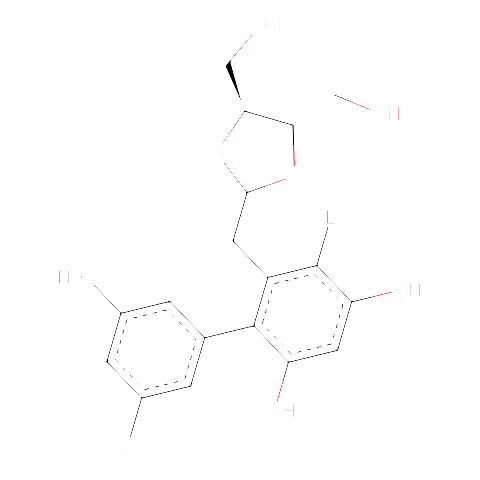 CCc1c(O)cc(O)c(-c2cc(C)cc(C)c2)c1CC1O[C@@H](CO)[C@H](CO)O1